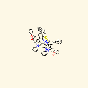 CC(C)(C)c1cc2c3c(c1)B1c4cc5c(cc4N(c4ccccc4)c4cc6c7c(c41)N3c1c(cc(C(C)(C)C)cc1B7c1cc3c(cc1N6c1ccccc1)oc1ccccc13)S2)oc1ccccc15